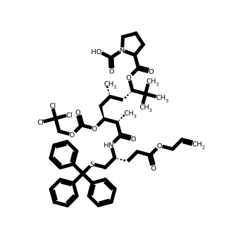 C=CCOC(=O)CC[C@H](CSC(c1ccccc1)(c1ccccc1)c1ccccc1)NC(=O)[C@@H](C)[C@H](C[C@H](C)C[C@H](OC(=O)C1CCCN1C(=O)O)C(C)(C)C)OC(=O)OCC(Cl)(Cl)Cl